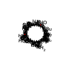 CCCC[C@H]1C(=O)N2CCOC[C@@H]2C(=O)N[C@@H](COC=O)C(=O)N[C@@H](C(C)C)C(=O)N(C)[C@@H](Cc2ccccc2)C(=O)N[C@@H](Cc2ccc(O)cc2)C(=O)N2CCC[C@@H]2C(=O)N[C@@H](Cc2c[nH]c3ccccc23)C(=O)N[C@@H](Cc2ccc(O)cc2)C(=O)N[C@@H](CCOC)C(=O)N[C@H](C(=O)NCC(N)=O)CSCC(=O)N[C@@H](Cc2cc(F)c(F)c(F)c2)C(=O)N(C)[C@@H](Cc2ccccc2)C(=O)N1C